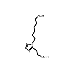 CCCCCCCCCCCCCCCCn1nnnc1CCC(=O)O